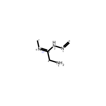 C=NN/C(CN)=N\C